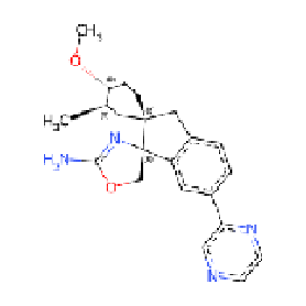 CO[C@@H]1CC[C@]2(Cc3ccc(-c4cnccn4)cc3[C@@]23COC(N)=N3)C[C@H]1C